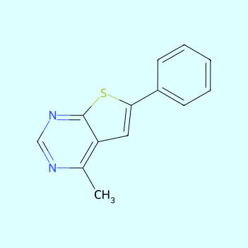 Cc1ncnc2sc(-c3ccccc3)cc12